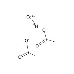 CC(=O)[O-].CC(=O)[O-].[2H][Ce+2]